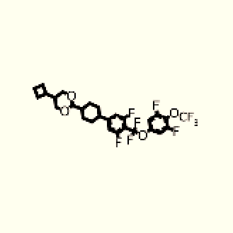 Fc1cc(OC(F)(F)c2c(F)cc(C3CCC(C4OCC(C5CCC5)CO4)CC3)cc2F)cc(F)c1OC(F)(F)F